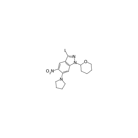 O=[N+]([O-])c1cc2c(I)nn(C3CCCCO3)c2cc1N1CCCC1